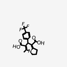 CC1=C(C(=O)O)C(c2ccc(C(F)(F)F)cc2)C(C(=O)O)=C2CCCN12